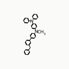 CN(c1ccc(-c2cccc(Cc3ccccc3)c2)cc1)c1ccc(N(c2ccccc2)c2ccccc2)cc1